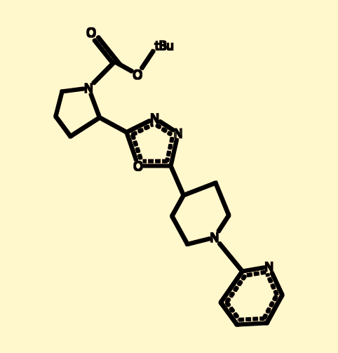 CC(C)(C)OC(=O)N1CCCC1c1nnc(C2CCN(c3ccccn3)CC2)o1